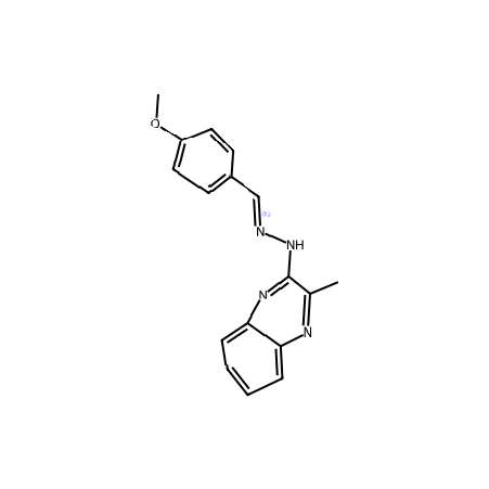 COc1ccc(/C=N/Nc2nc3ccccc3nc2C)cc1